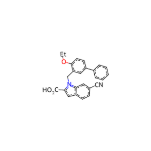 CCOc1ccc(-c2ccccc2)cc1Cn1c(C(=O)O)cc2ccc(C#N)cc21